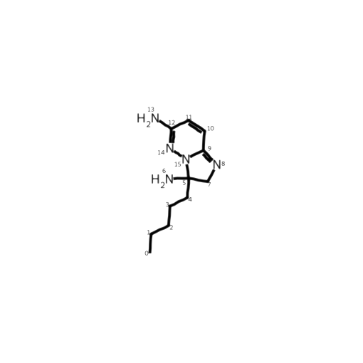 CCCCCC1(N)CN=C2C=CC(N)=NN21